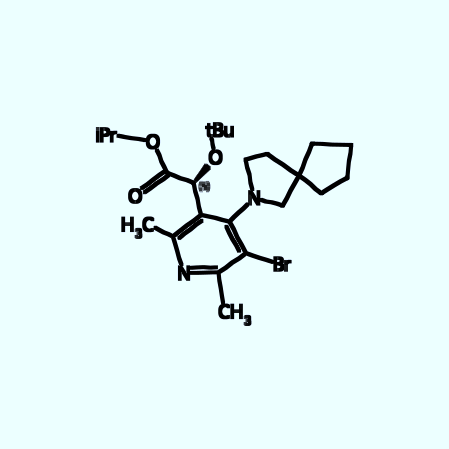 Cc1nc(C)c([C@H](OC(C)(C)C)C(=O)OC(C)C)c(N2CCC3(CCCC3)C2)c1Br